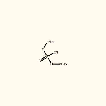 CCCCCCOP(=O)(C#N)OCCCCCC